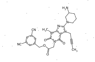 CC#CCn1c(N2CCCC(N)C2)nc2c1c(=O)n(CC(=O)OCc1cc(C#N)cc(C#N)c1)c(=O)n2C